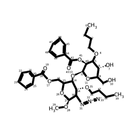 CCCCOC1[C@H](O)C(CO)O[C@@H](O[C@@H]2C(COC(=O)c3ccccc3)O[C@H](OC)C(N=[N+]=[N-])[C@H]2OCCCC)[C@H]1OC(=O)c1ccccc1